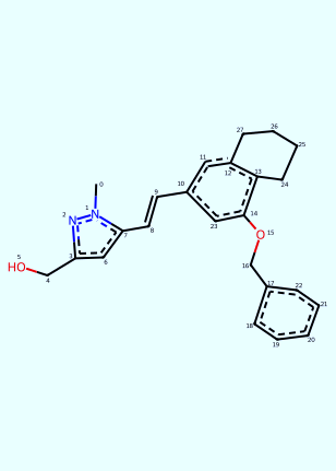 Cn1nc(CO)cc1/C=C/c1cc2c(c(OCc3ccccc3)c1)CCCC2